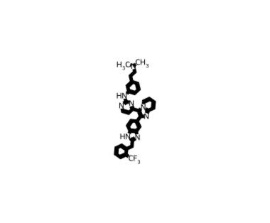 CN(C)CCc1cccc(Nc2nccc(-c3c(-c4ccc5[nH]c(Cc6ccccc6C(F)(F)F)nc5c4)nc4ccccn34)n2)c1